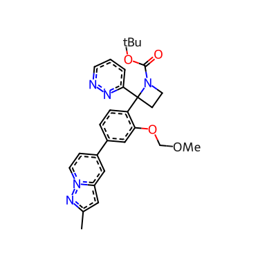 COCOc1cc(-c2ccn3nc(C)cc3c2)ccc1C1(c2cccnn2)CCN1C(=O)OC(C)(C)C